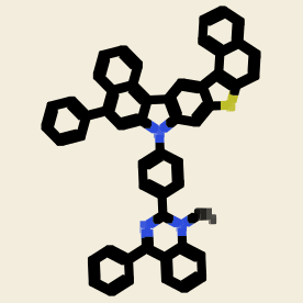 CN1c2ccccc2C(c2ccccc2)=NC1c1ccc(-n2c3cc4sc5ccc6ccccc6c5c4cc3c3c4ccccc4c(-c4ccccc4)cc32)cc1